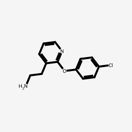 NCCc1cccnc1Oc1ccc(Cl)cc1